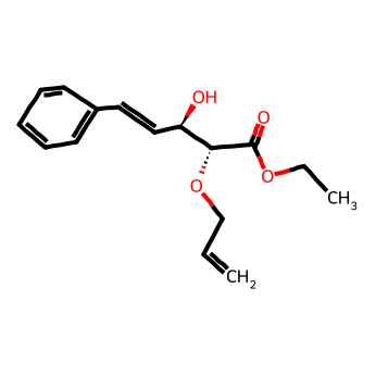 C=CCO[C@@H](C(=O)OCC)[C@H](O)/C=C/c1ccccc1